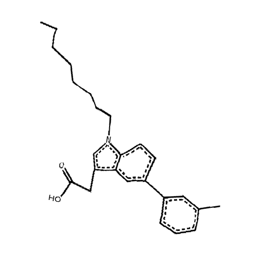 CCCCCCCCn1cc(CC(=O)O)c2cc(-c3cccc(C)c3)ccc21